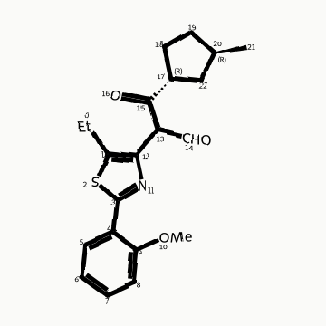 CCc1sc(-c2ccccc2OC)nc1C(C=O)C(=O)[C@@H]1CC[C@@H](C)C1